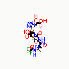 CON=C(C(=O)NC1C(=O)N2CC(CSc3nnnn3CC(O)C(=O)O)(C(=O)O)CS[C@H]12)c1csc(NC(=O)C(F)(F)F)n1